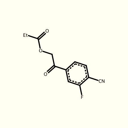 CCC(=O)OCC(=O)c1ccc(C#N)c(F)c1